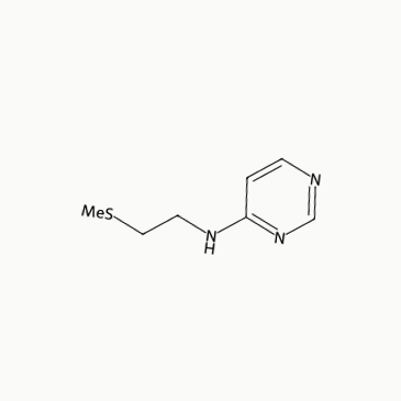 CSCCNc1ccncn1